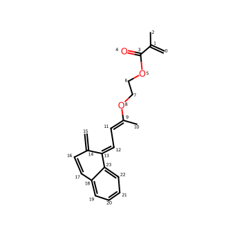 C=C(C)C(=O)OCCO/C(C)=C/C=c1\c(=C)ccc2ccccc12